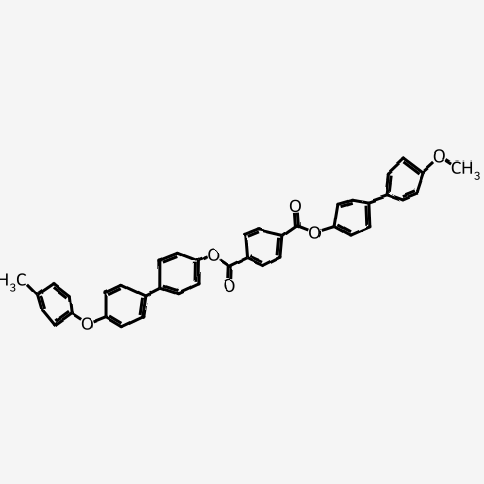 COc1ccc(-c2ccc(OC(=O)c3ccc(C(=O)Oc4ccc(-c5ccc(Oc6ccc(C)cc6)cc5)cc4)cc3)cc2)cc1